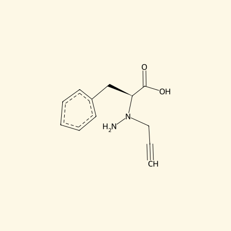 C#CCN(N)[C@@H](Cc1ccccc1)C(=O)O